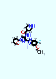 CCOc1cc2[nH]c(-c3nn(C4CCCCO4)cc3NC(=O)C3CCNCC3)nc2cc1F